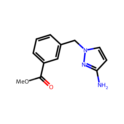 COC(=O)c1cccc(Cn2ccc(N)n2)c1